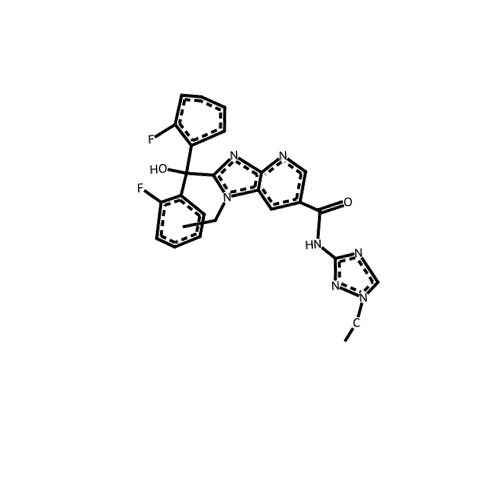 CCn1cnc(NC(=O)c2cnc3nc(C(O)(c4ccccc4F)c4ccccc4F)n(CC)c3c2)n1